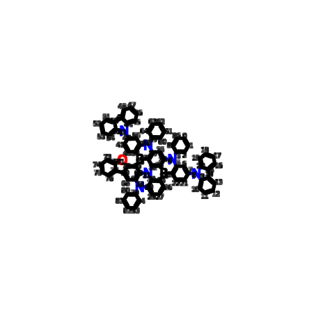 c1ccc(N2c3cc(-n4c5ccccc5c5ccccc54)ccc3B3c4cccc5c4N4c6c3c2cc2c6B(c3ccc(-n6c7ccccc7c7ccccc76)cc3N2c2ccccc2)c2c4c(cc3c2oc2ccccc23)N5c2ccccc2)cc1